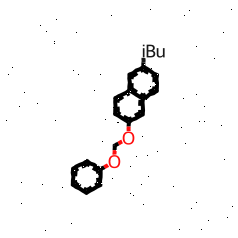 CCC(C)c1ccc2cc(OCOc3ccccc3)ccc2c1